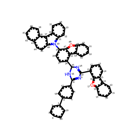 c1ccc(-c2ccc(C3=NC(c4cccc5c4oc4ccccc45)=NC(c4ccc(-n5c6ccccc6c6c7ccccc7ccc65)c5oc6ccccc6c45)N3)cc2)cc1